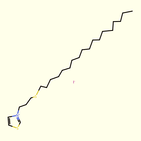 CCCCCCCCCCCCCCCCCCSCCC[n+]1ccsc1.[I-]